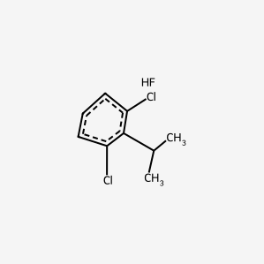 CC(C)c1c(Cl)cccc1Cl.F